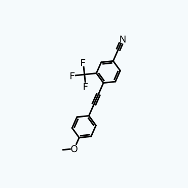 COc1ccc(C#Cc2ccc(C#N)cc2C(F)(F)F)cc1